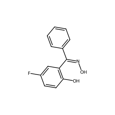 ON=C(c1ccccc1)c1cc(F)ccc1O